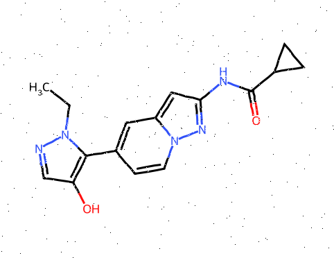 CCn1ncc(O)c1-c1ccn2nc(NC(=O)C3CC3)cc2c1